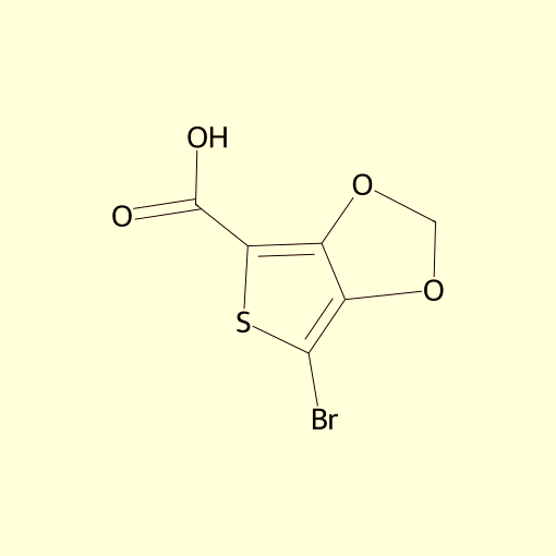 O=C(O)c1sc(Br)c2c1OCO2